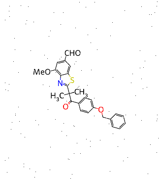 COc1cc(C=O)cc2sc(C(C)(C)C(=O)c3ccc(OCc4ccccc4)cc3)nc12